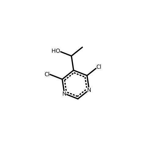 CC(O)c1c(Cl)ncnc1Cl